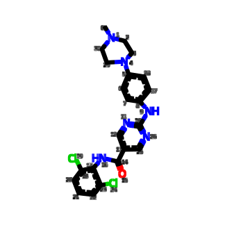 CN1CCN(c2ccc(Nc3ncc(C(=O)Nc4c(Cl)cccc4Cl)cn3)cc2)CC1